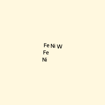 [Fe].[Fe].[Ni].[Ni].[W]